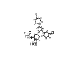 CCC(=O)Nc1cc(-c2sc(C3CCN(C)CC3)nc2-c2cccc(Cl)c2)ccn1.Cl.Cl